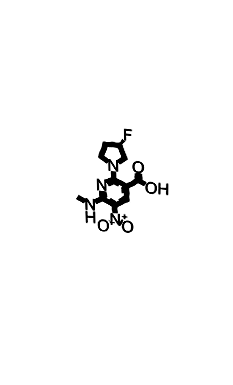 CNc1nc(N2CC[C@@H](F)C2)c(C(=O)O)cc1[N+](=O)[O-]